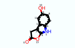 O=C1Cc2c([nH]c3ccc(O)cc23)O1